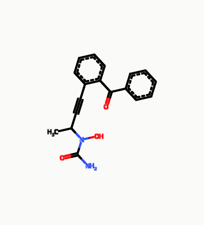 CC(C#Cc1ccccc1C(=O)c1ccccc1)N(O)C(N)=O